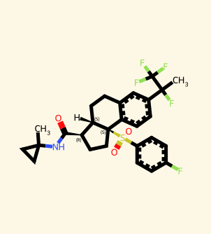 CC1(NC(=O)[C@@H]2CC[C@@]3(S(=O)(=O)c4ccc(F)cc4)c4ccc(C(C)(F)C(F)(F)F)cc4CC[C@@H]23)CC1